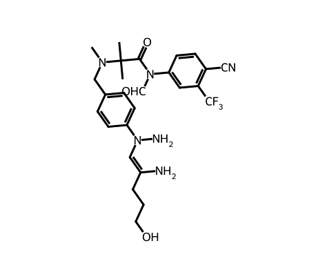 CN(Cc1ccc(N(N)/C=C(\N)CCCO)cc1)C(C)(C)C(=O)N(C=O)c1ccc(C#N)c(C(F)(F)F)c1